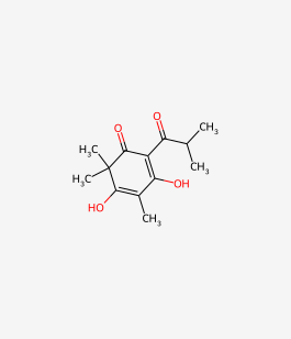 CC1=C(O)C(C)(C)C(=O)C(C(=O)C(C)C)=C1O